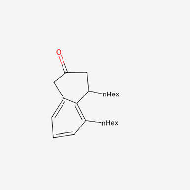 CCCCCCc1cccc2c1C(CCCCCC)CC(=O)C2